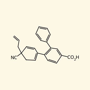 C=CCC1(C#N)C=CC(c2ccc(C(=O)O)cc2-c2ccccc2)=CC1